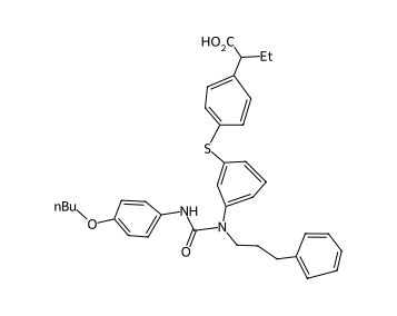 CCCCOc1ccc(NC(=O)N(CCCc2ccccc2)c2cccc(Sc3ccc(C(CC)C(=O)O)cc3)c2)cc1